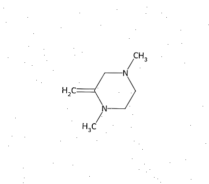 C=C1CN(C)CCN1C